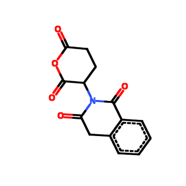 O=C1CCC(N2C(=O)Cc3ccccc3C2=O)C(=O)O1